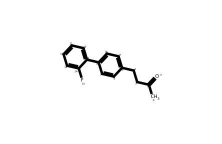 CC(=O)CCc1ccc(-c2ccccc2F)cc1